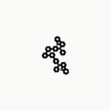 C1=CC2c3ccccc3OC2C(N(c2ccccc2)c2ccc(C3=CCCC(c4ccccc4C4C=C(c5ccc(N(c6ccccc6)c6cccc7c8c(oc67)C=CCC8)cc5)C=CC4)=C3)cc2)=C1